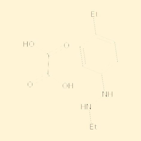 CCNNc1ccc(CC)cc1.O=C(O)C(=O)O